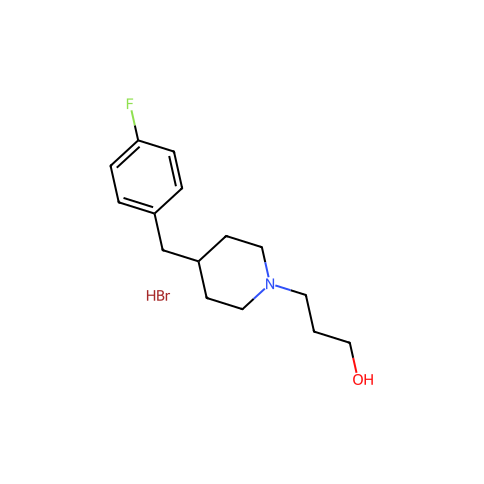 Br.OCCCN1CCC(Cc2ccc(F)cc2)CC1